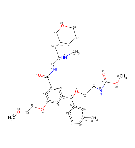 CNC(CNC(=O)c1cc(OCCOC)cc(C(OCCNC(=O)OC)c2cccc(C)c2)c1)C[C@H]1CCCOC1